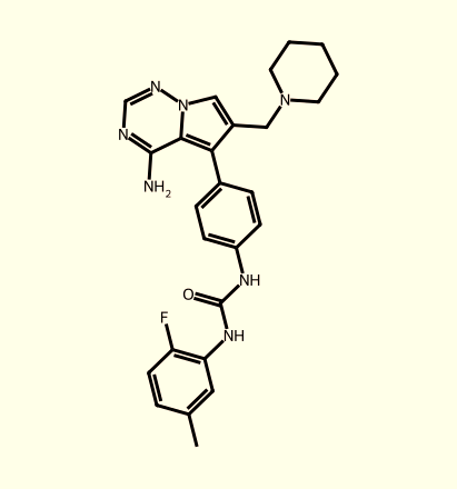 Cc1ccc(F)c(NC(=O)Nc2ccc(-c3c(CN4CCCCC4)cn4ncnc(N)c34)cc2)c1